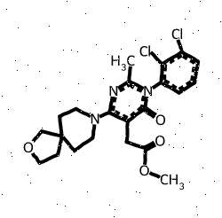 COC(=O)Cc1c(N2CCC3(CCOC3)CC2)nc(C)n(-c2cccc(Cl)c2Cl)c1=O